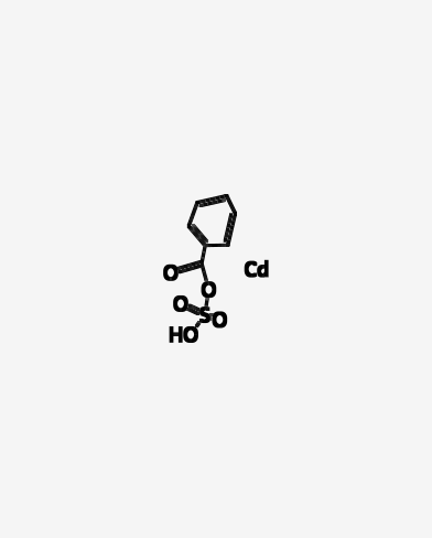 O=C(OS(=O)(=O)O)c1ccccc1.[Cd]